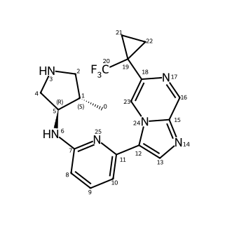 C[C@H]1CNC[C@@H]1Nc1cccc(-c2cnc3cnc(C4(C(F)(F)F)CC4)cn23)n1